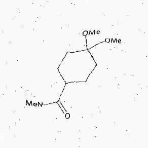 CNC(=O)C1CCC(OC)(OC)CC1